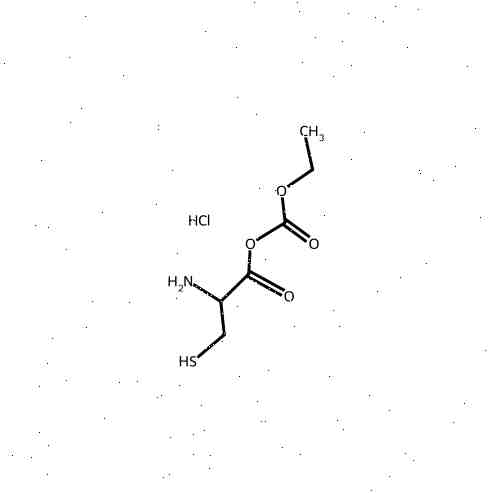 CCOC(=O)OC(=O)C(N)CS.Cl